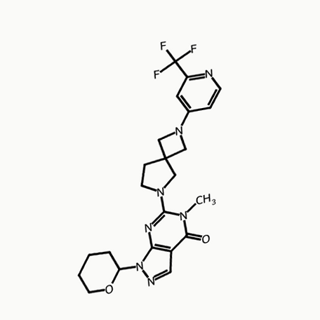 Cn1c(N2CCC3(CN(c4ccnc(C(F)(F)F)c4)C3)C2)nc2c(cnn2C2CCCCO2)c1=O